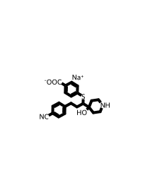 N#Cc1ccc(CCC(Sc2ccc(C(=O)[O-])cc2)C2(O)CCNCC2)cc1.[Na+]